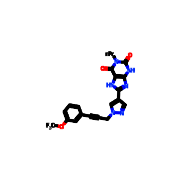 CCCn1c(=O)[nH]c2nc(-c3cnn(CC#Cc4cccc(OC(F)(F)F)c4)c3)[nH]c2c1=O